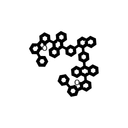 c1ccc(-c2cccc3c2oc2c(-c4c5ccccc5c(-c5ccc(-c6c(-c7cccc(-c8c9ccccc9c(-c9cccc%10c9oc9c(-c%11ccccc%11)cccc9%10)c9ccccc89)c7)ccc7ccccc67)cc5)c5ccccc45)cccc23)cc1